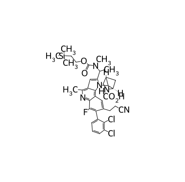 Cc1nc2c(F)c(-c3cccc(Cl)c3Cl)c(CCC#N)cc2c2c1cc(C(C)N(C)C(=O)OCC[Si](C)(C)C)n2[C@H]1[C@@H]2C[C@H]1N(C(=O)O)C2